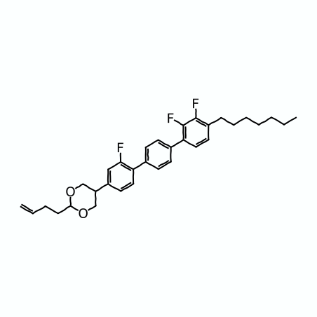 C=CCCC1OCC(c2ccc(-c3ccc(-c4ccc(CCCCCCC)c(F)c4F)cc3)c(F)c2)CO1